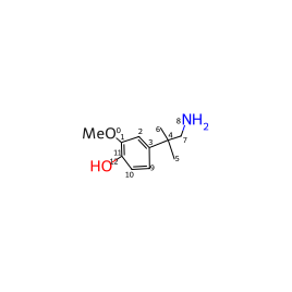 COc1cc(C(C)(C)CN)ccc1O